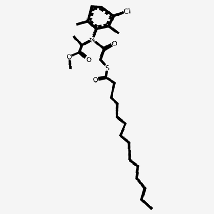 CCCCCCCCCCCCCC(=O)SCC(=O)N(c1c(C)ccc(Cl)c1C)C(C)C(=O)OC